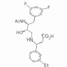 CCc1cccc(C(CC(=O)O)NC[C@@H](O)[C@H](Cc2cc(F)cc(F)c2)NC(C)=O)c1